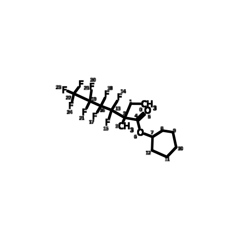 CCC(C)(C(=O)OC1CCCCC1)C(F)(F)C(F)(F)C(F)(F)C(F)(F)F